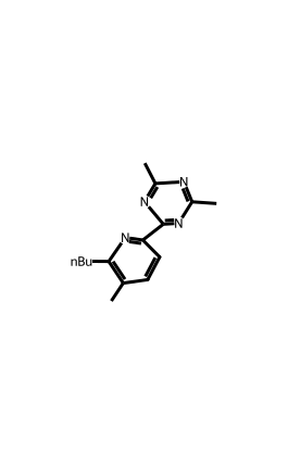 CCCCc1nc(-c2nc(C)nc(C)n2)ccc1C